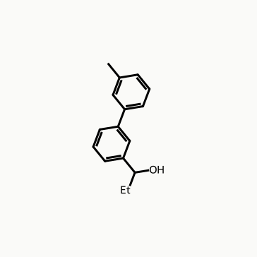 CCC(O)c1cccc(-c2cccc(C)c2)c1